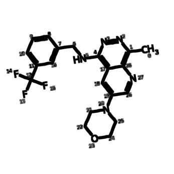 Cc1nnc(NCc2cccc(C(F)(F)F)c2)c2cc(N3CCOCC3)cnc12